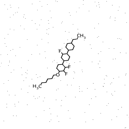 CCCCCCOC1CCC(C2CCC(C3CCC(CCC)CC3)C(F)C2)C(F)C1F